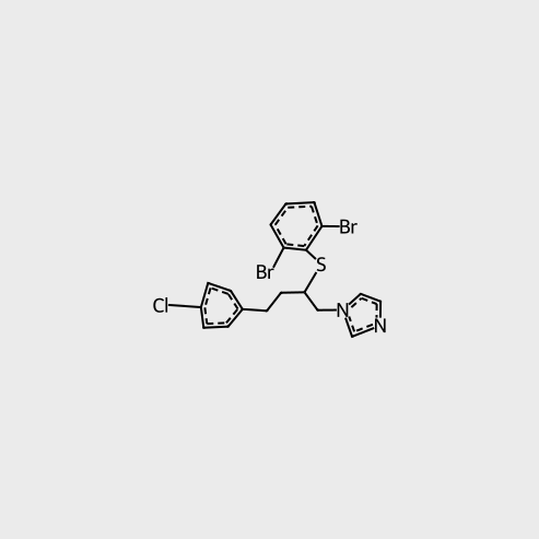 Clc1ccc(CCC(Cn2ccnc2)Sc2c(Br)cccc2Br)cc1